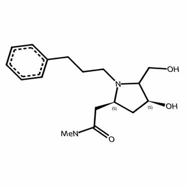 CNC(=O)C[C@@H]1C[C@H](O)C(CO)N1CCCc1ccccc1